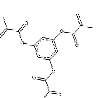 C=C(C)C(=O)Oc1cc(OC(=O)C(=C)C)cc(OC(=O)C(=C)C)c1